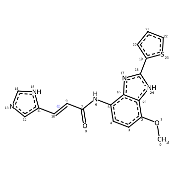 COc1ccc(NC(=O)/C=C/c2cnc[nH]2)c2nc(-c3cccs3)[nH]c12